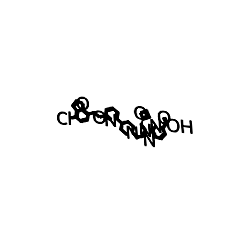 O=C(O)c1ccc2nc(CN3CCC(c4cccc(OCc5ccc(Cl)c6ccoc56)n4)CC3)n(C[C@@H]3CCO3)c2n1